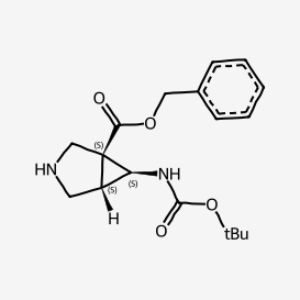 CC(C)(C)OC(=O)N[C@H]1[C@@H]2CNC[C@@]21C(=O)OCc1ccccc1